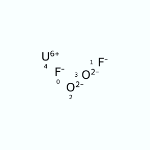 [F-].[F-].[O-2].[O-2].[U+6]